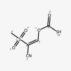 CS(=O)(=O)C(C#N)=COC(=O)S